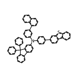 c1ccc(C2(c3ccccc3)c3ccccc3-c3ccc(N(c4ccc(-c5ccc6c(c5)sc5ccccc56)cc4)c4cccc(-c5cccc6ccccc56)c4)cc32)cc1